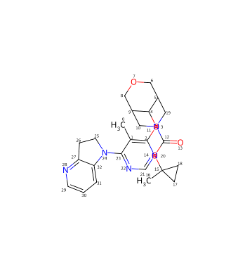 Cc1c(OC2C3COCC2CN(C(=O)OC2(C)CC2)C3)ncnc1N1CCc2ncccc21